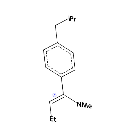 CC/C=C(\NC)c1ccc(CC(C)C)cc1